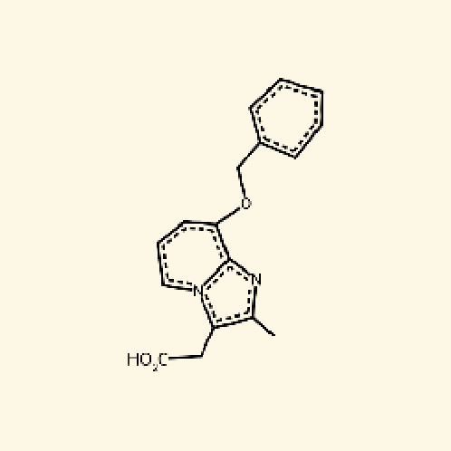 Cc1nc2c(OCc3ccccc3)cccn2c1CC(=O)O